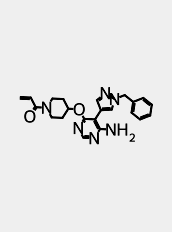 C=CC(=O)N1CCC(Oc2ncnc(N)c2-c2cnn(Cc3ccccc3)c2)CC1